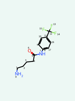 NCCCCC(=O)Nc1ccc(C(F)(F)F)cc1